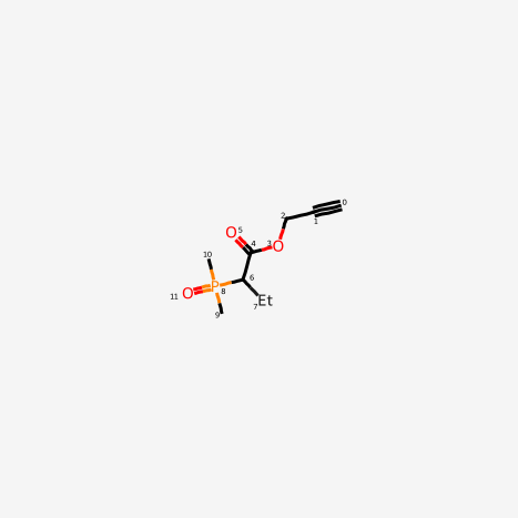 C#CCOC(=O)C(CC)P(C)(C)=O